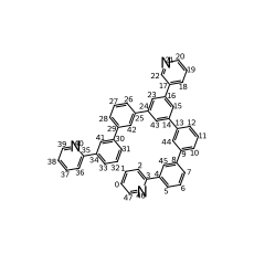 c1ccc(-c2cccc(-c3cccc(-c4cc(-c5cccnc5)cc(-c5cccc(-c6cccc(-c7ccccn7)c6)c5)c4)c3)c2)nc1